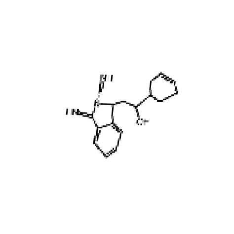 N=CN1C(=N)c2ccccc2C1CC(O)C1CC=CCC1